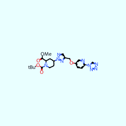 COC(=O)C1CC(n2ncc(COc3ccc(-n4cnnn4)nc3)n2)CCN1C(=O)OC(C)(C)C